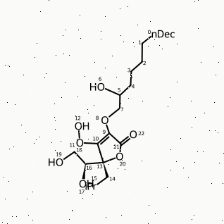 CCCCCCCCCCCCCCC(O)COC1=C(OO)[C@@](CC(C)C)([C@@H](O)CO)OC1=O